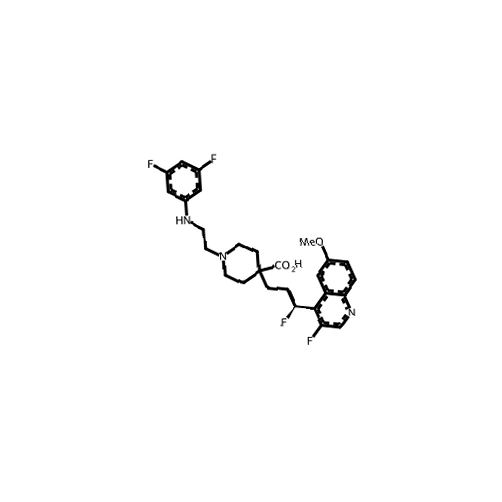 COc1ccc2ncc(F)c([C@@H](F)CCC3(C(=O)O)CCN(CCNc4cc(F)cc(F)c4)CC3)c2c1